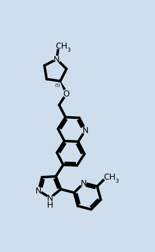 Cc1cccc(-c2[nH]ncc2-c2ccc3ncc(CO[C@H]4CCN(C)C4)cc3c2)n1